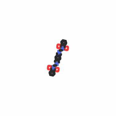 O=C1c2ccccc2C(=O)N1CCN1Cc2cc3c(cc2C1)CN(CCN1C(=O)c2ccccc2C1=O)C3